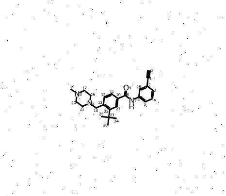 C#Cc1cccc(NC(=O)c2ccc(CN3CCN(C)CC3)c(C(C)(C)C)c2)c1